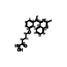 Cc1nc(N(C)c2cccc(OCCCC(=O)NO)c2)c2ccccc2n1